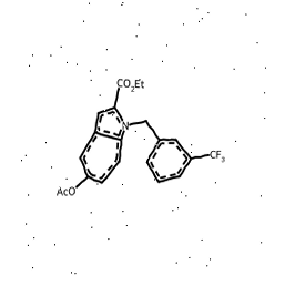 CCOC(=O)c1cc2cc(OC(C)=O)ccc2n1Cc1cccc(C(F)(F)F)c1